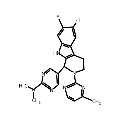 Cc1ccnc(N2CCc3c([nH]c4cc(F)c(Cl)cc34)C2c2cnc(N(C)C)nc2)n1